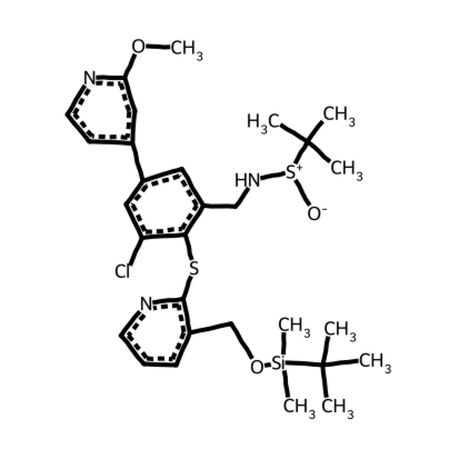 COc1cc(-c2cc(Cl)c(Sc3ncccc3CO[Si](C)(C)C(C)(C)C)c(CN[S+]([O-])C(C)(C)C)c2)ccn1